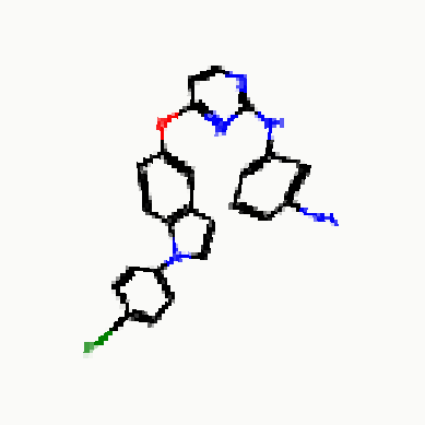 Nc1cccc(Nc2nccc(Oc3ccc4c(ccn4-c4ccc(F)cc4)c3)n2)c1